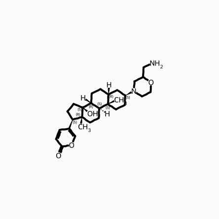 C[C@]12CC[C@H](N3CCOC(CN)C3)C[C@H]1CC[C@@H]1[C@@H]2CC[C@]2(C)[C@@H](c3ccc(=O)oc3)CC[C@]12O